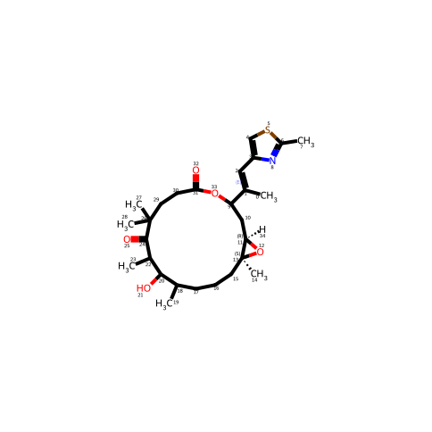 C/C(=C\c1csc(C)n1)C1C[C@H]2O[C@@]2(C)CCCC(C)C(O)C(C)C(=O)C(C)(C)CCC(=O)O1